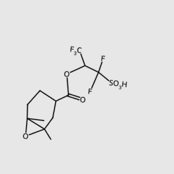 CC12CCC(C(=O)OC(C(F)(F)F)C(F)(F)S(=O)(=O)O)CC1(C)O2